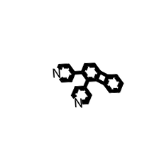 c1ccc2c(c1)-c1ccc(-c3ccncc3)c(-c3ccncc3)c1-2